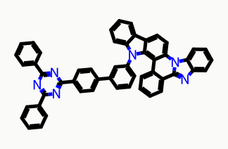 c1ccc(-c2nc(-c3ccccc3)nc(-c3ccc(-c4cccc(-n5c6ccccc6c6ccc7c(c8ccccc8c8nc9ccccc9n78)c65)c4)cc3)n2)cc1